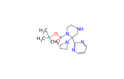 CC(C)(C)OC(=O)N1CCNCC1(c1ncccn1)N1CCC1